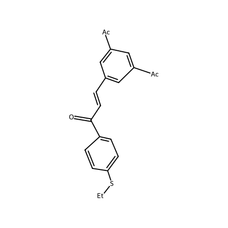 CCSc1ccc(C(=O)C=Cc2cc(C(C)=O)cc(C(C)=O)c2)cc1